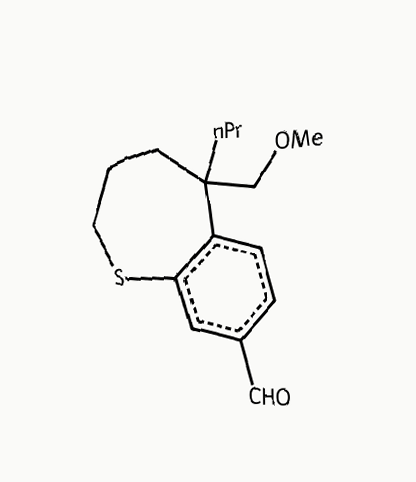 CCCC1(COC)CCCSc2cc(C=O)ccc21